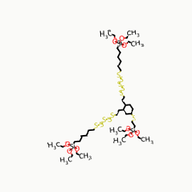 CCO[Si](CCCCCCSSSSSCCC1CCC(SCC[Si](OCC)(OCC)OCC)CC1CCSSSSSCCCCCC[Si](OCC)(OCC)OCC)(OCC)OCC